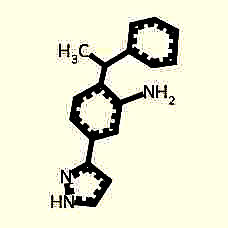 CC(c1ccccc1)c1ccc(-c2cc[nH]n2)cc1N